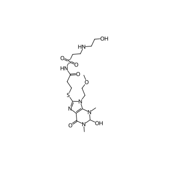 COCCn1c(SCCC(=O)NS(=O)(=O)CCNCCO)nc2c1N(C)C(O)N(C)C2=O